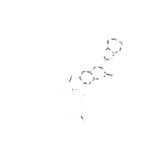 CCOC(=N)CCCN1c2cc3oc(=O)c(-c4nc5ccccc5o4)cc3cc2C(C)=CC1(C)C